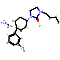 CCCCN1CCN([C@H]2CC[C@](CN)(c3cccc(Cl)c3)CC2)C1=O